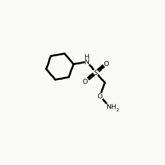 NOCS(=O)(=O)NC1CCCCC1